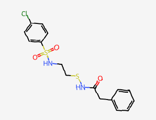 O=C(Cc1ccccc1)NSCCNS(=O)(=O)c1ccc(Cl)cc1